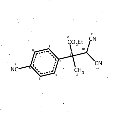 CCOC(=O)C(C)(c1ccc(C#N)cc1)C(C#N)C#N